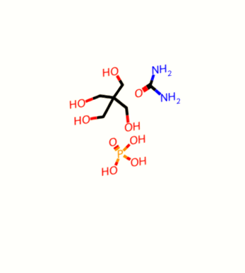 NC(N)=O.O=P(O)(O)O.OCC(CO)(CO)CO